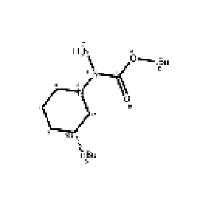 CCCC[C@@H]1CCCN(N(N)C(=O)OC(C)(C)C)C1